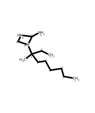 CCCCCCC(C)(CC)N1CNC1N